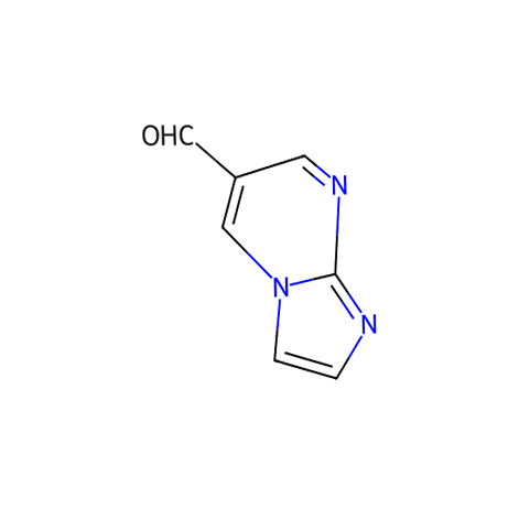 O=Cc1cnc2nccn2c1